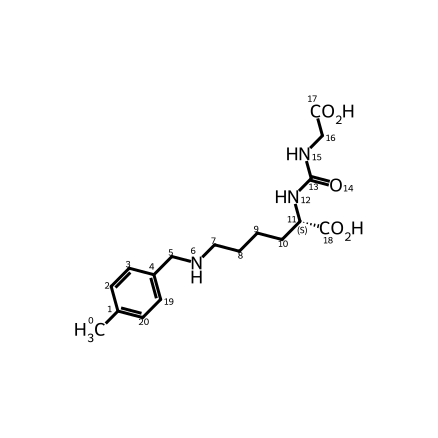 Cc1ccc(CNCCCC[C@H](NC(=O)NCC(=O)O)C(=O)O)cc1